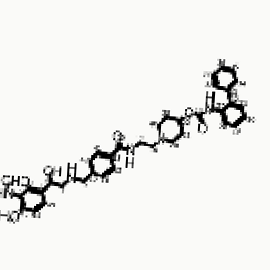 O=CNc1cc(C(O)CNCc2ccc(C(=O)NCCN3CCC(OC(=O)Nc4ccccc4-c4ccccc4)CC3)cc2)ccc1O